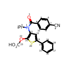 CC(C)N(C(=O)c1ccc(C#N)cc1)c1cc(-c2ccccc2)sc1OC(=O)O